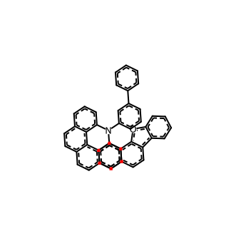 c1ccc(-c2cccc(N(c3cccc4ccc5c6ccccc6oc5c34)c3cccc4ccc5ccc6ccccc6c5c34)c2)cc1